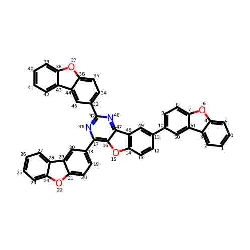 c1ccc2c(c1)oc1ccc(-c3ccc4oc5c(-c6ccc7oc8ccccc8c7c6)nc(-c6ccc7oc8ccccc8c7c6)nc5c4c3)cc12